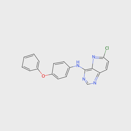 Clc1ccc2ncnc(Nc3ccc(Oc4ccccc4)cc3)c2n1